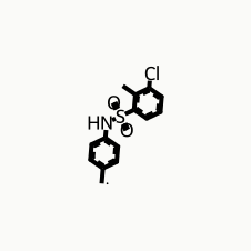 [CH2]c1ccc(NS(=O)(=O)c2cccc(Cl)c2C)cc1